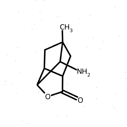 CC12CC3C(=O)OC(C3C1)C2N